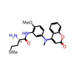 COc1ccc(N(C)c2cc(=O)oc3ccccc23)cc1NC(=O)[C@@H](N)CCSC